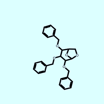 c1ccc(COC2C3COC(O3)C(OCc3ccccc3)C2OCc2ccccc2)cc1